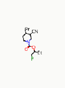 CCC(CF)OC(=O)N1CCC(C(C)C)C(C#N)C1